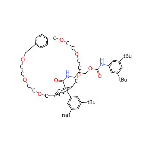 CC(C)(C)c1cc(NC(=O)OCCCNC(=O)c2cc3cc(-c4cc(C(C)(C)C)cc(C(C)(C)C)c4)c2COCCOCCOCc2ccc(cc2)COCCOCCOC3)cc(C(C)(C)C)c1